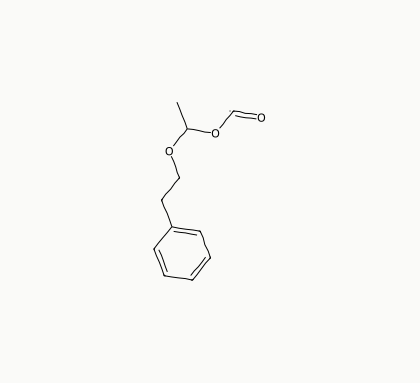 CC(O[C]=O)OCCc1ccccc1